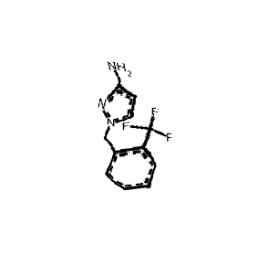 Nc1ccn(Cc2ccccc2C(F)(F)F)n1